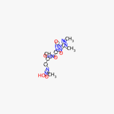 CCc1nc2c(cnn2CC)c(NC2CCOCC2)c1CNC(=O)c1cccc(C(=O)NCc2cc(OC)cc(-c3cccc(CN4CCN(C(=O)O)[C@@H](C)C4)c3)c2)c1